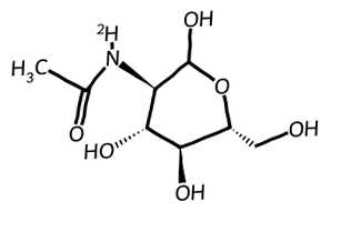 [2H]N(C(C)=O)[C@H]1C(O)O[C@H](CO)[C@@H](O)[C@@H]1O